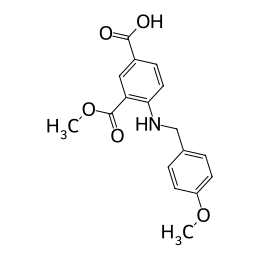 COC(=O)c1cc(C(=O)O)ccc1NCc1ccc(OC)cc1